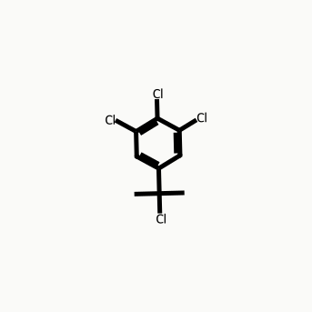 CC(C)(Cl)c1cc(Cl)c(Cl)c(Cl)c1